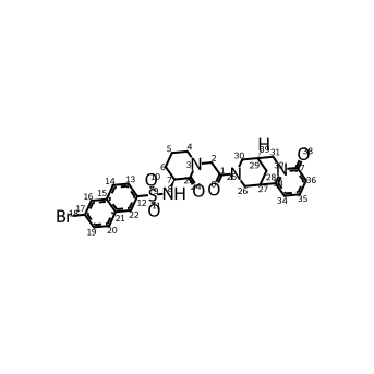 O=C(CN1CCC[C@H](NS(=O)(=O)c2ccc3cc(Br)ccc3c2)C1=O)N1CC2C[C@@H](C1)Cn1c2cccc1=O